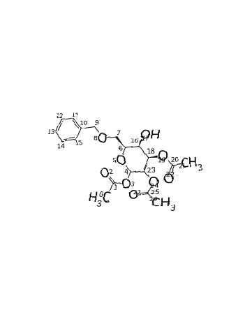 CC(=O)OC1O[C@@H](COCc2ccccc2)[C@@H](O)[C@@H](OC(C)=O)C1OC(C)=O